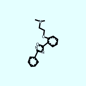 CN(C)CCOc1ccccc1-c1nc(-c2ccccc2)no1